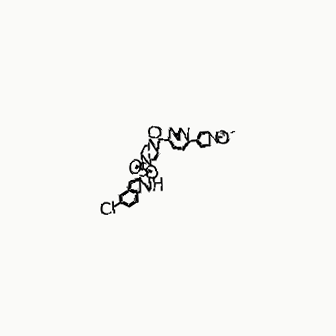 O=C(c1ccc(-c2cc[n+]([O-])cc2)nn1)N1CCN(S(=O)(=O)c2cc3cc(Cl)ccc3[nH]2)CC1